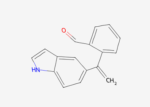 C=C(c1ccc2[nH]ccc2c1)c1ccccc1C=O